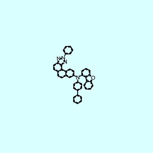 c1ccc(-c2ccc(N(c3ccc4c(ccc5ccc6nn(-c7ccccc7)nc6c54)c3)c3cccc4oc5ccccc5c34)cc2)cc1